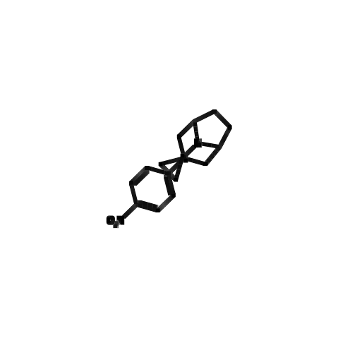 O=[N+]([O-])c1ccc(N2CC3CCC(C2)N3C2CC2)cc1